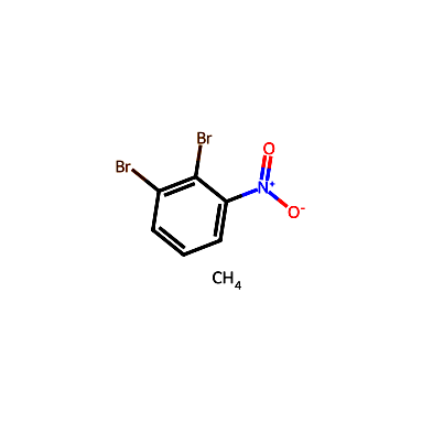 C.O=[N+]([O-])c1cccc(Br)c1Br